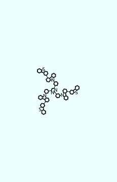 c1cc(-c2cc(-c3cccc(-n4c5ccccc5c5c(-c6ccc7sc8ccccc8c7c6)cccc54)c3)nc(-c3cccc(-n4c5ccccc5c5c(-c6ccc7sc8ccccc8c7c6)cccc54)c3)n2)cc(-n2c3ccccc3c3c(-c4ccc5sc6ccccc6c5c4)cccc32)c1